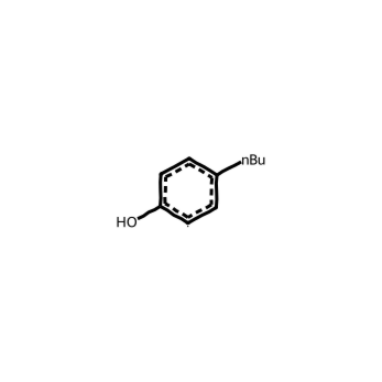 CCCCc1c[c]c(O)cc1